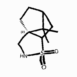 CC1(C)C2CC[C@]13CNS(=O)(=O)C3C2